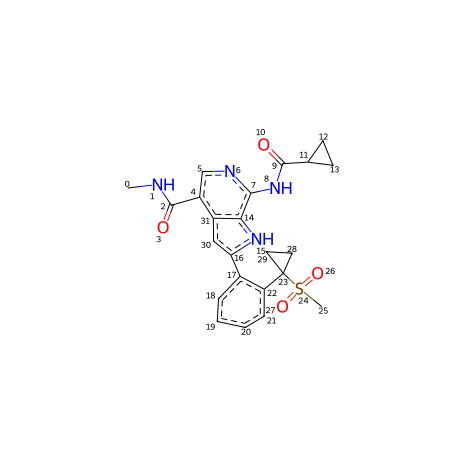 CNC(=O)c1cnc(NC(=O)C2CC2)c2[nH]c(-c3ccccc3C3(S(C)(=O)=O)CC3)cc12